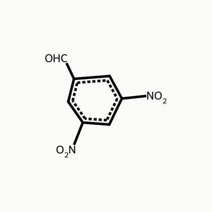 O=Cc1cc([N+](=O)[O-])cc([N+](=O)[O-])c1